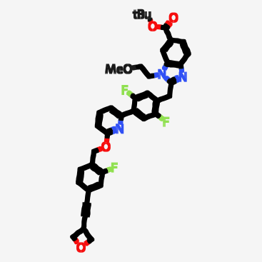 COCCn1c(Cc2cc(F)c(-c3cccc(OCc4ccc(C#CC5COC5)cc4F)n3)cc2F)nc2ccc(C(=O)OC(C)(C)C)cc21